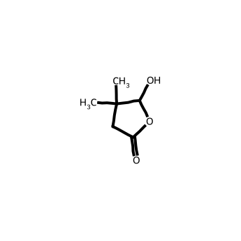 CC1(C)CC(=O)OC1O